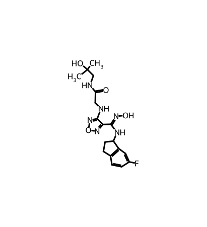 CC(C)(O)CNC(=O)CNc1nonc1/C(=N/O)NC1CCc2ccc(F)cc21